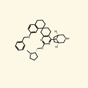 CN1CCC[C@H]1COc1nc2c(c(N3[C@@H]4CC[C@H]3CNC4)n1)CCC1(CCCc3ccc(OCc4ccccc4)cc31)C2